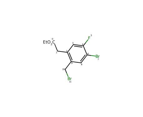 CCOC(=O)Cc1cc(F)c(Br)cc1CBr